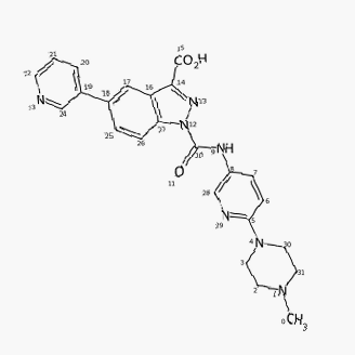 CN1CCN(c2ccc(NC(=O)n3nc(C(=O)O)c4cc(-c5cccnc5)ccc43)cn2)CC1